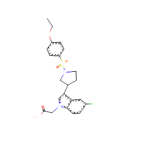 CCOc1ccc(S(=O)(=O)N2CCC(c3cn(CC(=O)O)c4ccc(Cl)cc34)C2)cc1